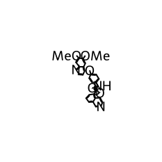 COc1cc2nccc(Oc3ccc(NS(=O)(=O)c4cccc5cnccc45)cc3)c2cc1OC